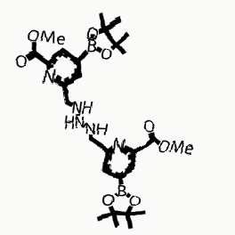 COC(=O)c1cc(B2OC(C)(C)C(C)(C)O2)cc(CNNNCc2cc(B3OC(C)(C)C(C)(C)O3)cc(C(=O)OC)n2)n1